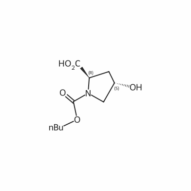 CCCCOC(=O)N1C[C@@H](O)C[C@@H]1C(=O)O